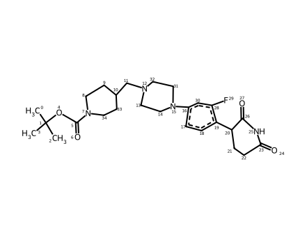 CC(C)(C)OC(=O)N1CCC(CN2CCN(c3ccc(C4CCC(=O)NC4=O)c(F)c3)CC2)CC1